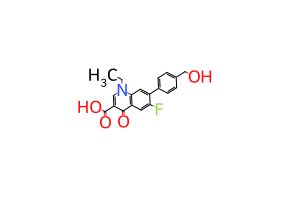 CCn1cc(C(=O)O)c(=O)c2cc(F)c(-c3ccc(CO)cc3)cc21